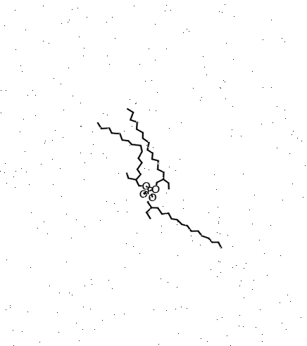 CCCCCCCCCCCCCCC(CC)COP(=O)(OCC(CC)CCCCCCCCCCCCCC)OCC(CC)CCCCCCCCCCCCCC